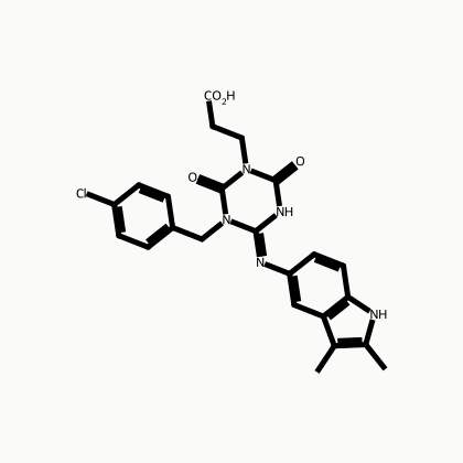 Cc1[nH]c2ccc(/N=c3\[nH]c(=O)n(CCC(=O)O)c(=O)n3Cc3ccc(Cl)cc3)cc2c1C